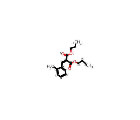 CCCOC(=O)C(=Cc1ccccc1C)C(=O)OCCC